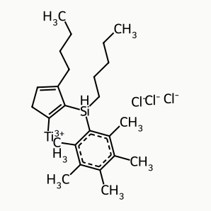 CCCCC[SiH](C1=[C]([Ti+3])CC=C1CCCC)c1c(C)c(C)c(C)c(C)c1C.[Cl-].[Cl-].[Cl-]